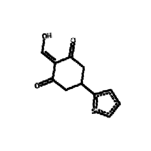 O=C1CC(c2cccs2)CC(=O)C1=CO